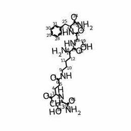 CC(=O)C(CCC(=O)NCCCCC(N)C(=O)N[C@@H](CO)C(=O)N[C@@H](Cc1ccccc1)C(N)=O)N[C@@H](CO)C(N)=O